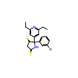 CCc1cc(C2(c3cccc(Br)c3)NC(=S)CC2=S)cc(CC)n1